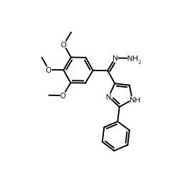 COc1cc(C(=NN)c2c[nH]c(-c3ccccc3)n2)cc(OC)c1OC